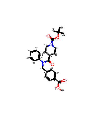 COC(=O)c1ccc(CN(C(=O)C2CCN(C(=O)OC(C)(C)C)CC2)c2ccccc2)cc1